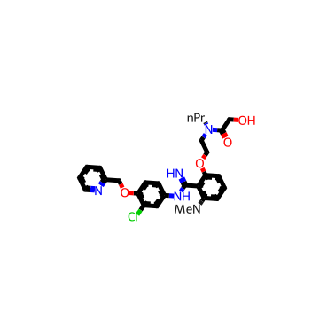 CCCN(CCOc1cccc(NC)c1C(=N)Nc1ccc(OCc2ccccn2)c(Cl)c1)C(=O)CO